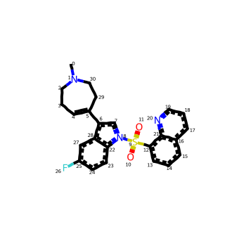 CN1CCC=C(c2cn(S(=O)(=O)c3cccc4cccnc34)c3ccc(F)cc23)CC1